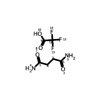 NC(=O)CCC(N)=O.O=C(O)C(F)(F)F